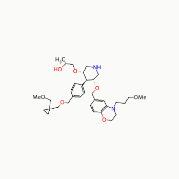 COCCCN1CCOc2ccc(CO[C@H]3CNC[C@@H](OC[C@@H](C)O)[C@@H]3c3ccc(COCC4(COC)CC4)cc3)cc21